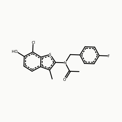 CC(=O)N(Cc1ccc(F)cc1)c1sc2c(Cl)c(O)ccc2c1C